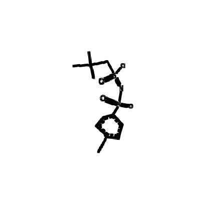 Cc1ccc(S(=O)(=O)N=S(=O)(Cl)CC(C)(C)C)cc1